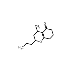 CCCC1CC(C)C2=C(CCCC2=O)O1